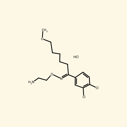 COCCCCCC(=NOCCN)c1ccc(Cl)c(Cl)c1.Cl